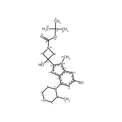 CC1COCCN1c1nc(Cl)nc2c1nc(C1(O)CN(C(=O)OC(C)(C)C)C1)n2C